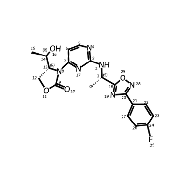 C[C@H](Nc1nccc(N2C(=O)OC[C@@H]2[C@@H](C)O)n1)c1nc(-c2ccc(F)cc2)no1